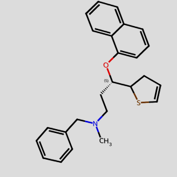 CN(CC[C@H](Oc1cccc2ccccc12)C1CC=CS1)Cc1ccccc1